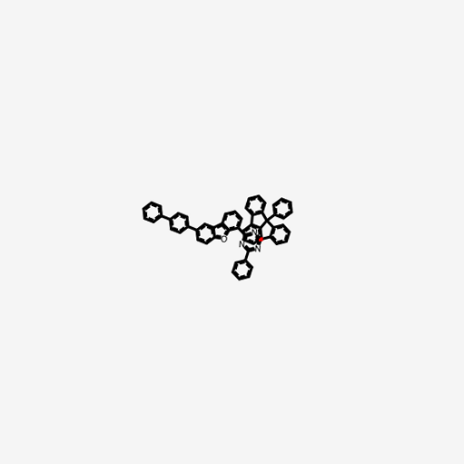 c1ccc(-c2ccc(-c3ccc4oc5c(-c6nc(-c7ccccc7)nc(-c7ccccc7C7(c8ccccc8)c8ccccc8-c8ccccc87)n6)cccc5c4c3)cc2)cc1